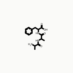 CC(N)C(=O)NC(C)C(=O)NC(Cc1ccccc1)C(=O)O